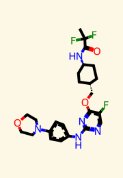 CC(F)(F)C(=O)N[C@H]1CC[C@H](COc2nc(Nc3ccc(N4CCOCC4)cc3)ncc2F)CC1